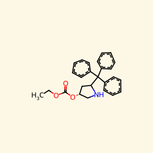 CCOC(=O)O[C@H]1CNC(C(c2ccccc2)(c2ccccc2)c2ccccc2)C1